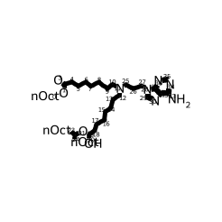 CCCCCCCCOC(=O)CCCCCCCN(CCCCCCCC(O)OC(CCCCCCCC)CCCCCCCC)CCCn1cnc2c(N)ncnc21